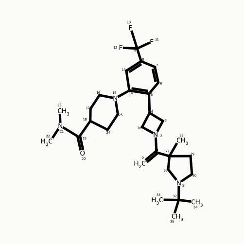 C=C(N1CC(c2ccc(C(F)(F)F)cc2N2CCC(C(=O)N(C)C)CC2)C1)C1(C)CCN(C(C)(C)C)C1